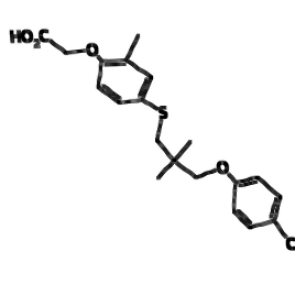 Cc1cc(SCC(C)(C)COc2ccc(C(F)(F)F)cc2)ccc1OCC(=O)O